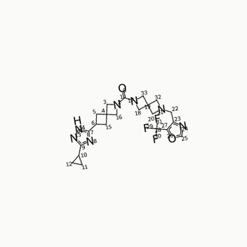 O=C(N1CC2(CC(c3nc(C4CC4)n[nH]3)C2)C1)N1CC2(CN(Cc3ncoc3C(F)(F)F)C2)C1